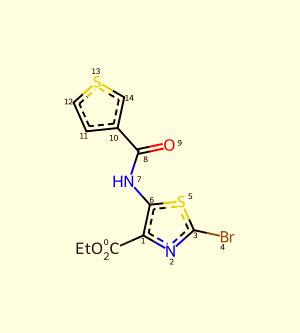 CCOC(=O)c1nc(Br)sc1NC(=O)c1ccsc1